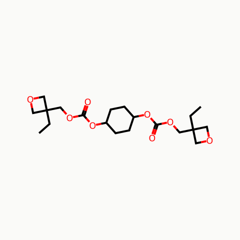 CCC1(COC(=O)OC2CCC(OC(=O)OCC3(CC)COC3)CC2)COC1